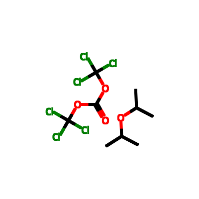 CC(C)OC(C)C.O=C(OC(Cl)(Cl)Cl)OC(Cl)(Cl)Cl